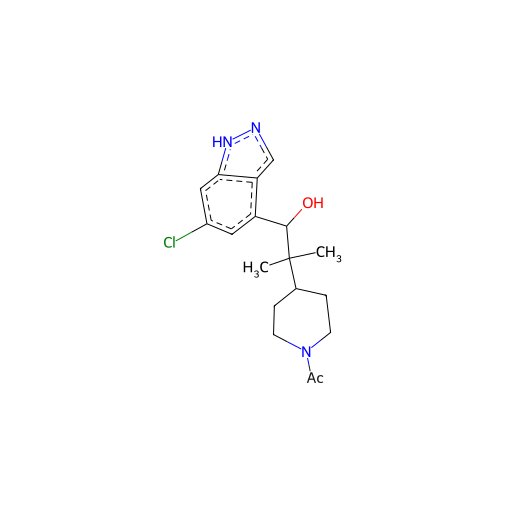 CC(=O)N1CCC(C(C)(C)C(O)c2cc(Cl)cc3[nH]ncc23)CC1